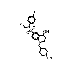 CCc1ccc(N(CC(C)C)S(=O)(=O)c2ccc3c(c2)C(O)CCN3CC2CCC(C#N)CC2)cc1